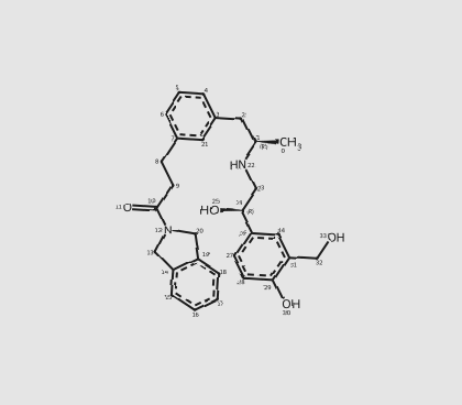 C[C@H](Cc1cccc(CCC(=O)N2Cc3ccccc3C2)c1)NC[C@H](O)c1ccc(O)c(CO)c1